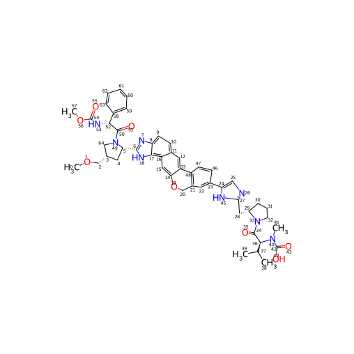 COC[C@H]1C[C@@H](c2nc3ccc4cc5c(cc4c3[nH]2)OCc2cc(-c3cnc(C[C@@H]4CCCN4C(=O)[C@H](C(C)C)N(C)C(=O)O)[nH]3)ccc2-5)N(C(=O)[C@H](NC(=O)OC)c2ccccc2)C1